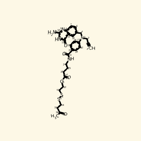 C#CCN(Cc1ccc2nc(N)[nH]c(=O)c2c1)c1ccc(C(=O)NCCCC(=O)OCCSSCCC(C)=O)cc1